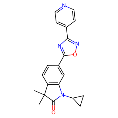 CC1(C)C(=O)N(C2CC2)c2cc(-c3nc(-c4ccncc4)no3)ccc21